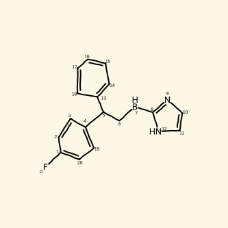 Fc1ccc(C(CBc2ncc[nH]2)c2ccccc2)cc1